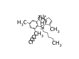 CCCCC[SiH](C1=[C]([Ti+3])CC=C1C)c1c(C)cc(C)cc1C.[Cl-].[Cl-].[Cl-]